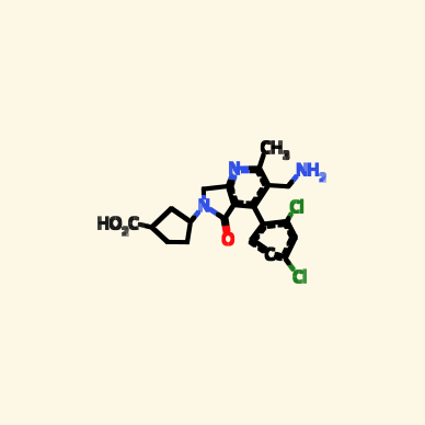 Cc1nc2c(c(-c3ccc(Cl)cc3Cl)c1CN)C(=O)N(C1CCC(C(=O)O)C1)C2